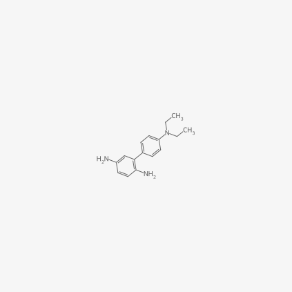 CCN(CC)c1ccc(-c2cc(N)ccc2N)cc1